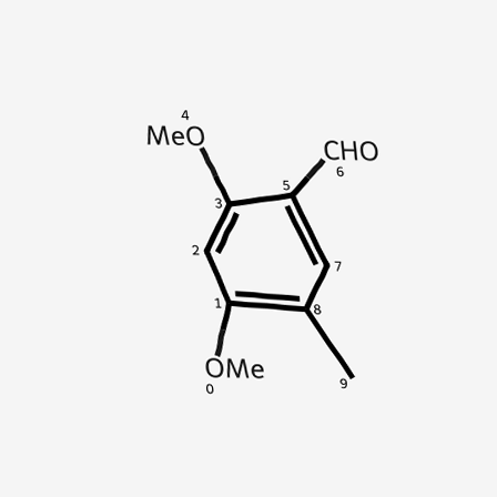 COc1cc(OC)c(C=O)cc1C